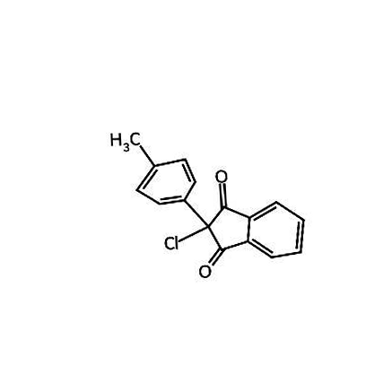 Cc1ccc(C2(Cl)C(=O)c3ccccc3C2=O)cc1